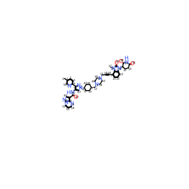 Cc1ccc(-c2nn([C@H]3CC[C@H](CN4CCN(CC#Cc5cccc6c5n(C)c(=O)n6C5CCC(=O)NC5=O)CC4)CC3)cc2NC(=O)c2cnn3cccnc23)nc1